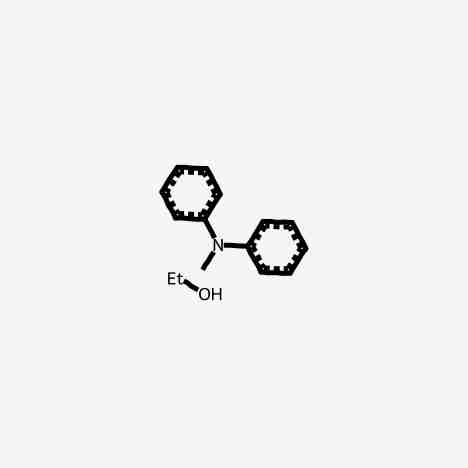 CCO.CN(c1ccccc1)c1ccccc1